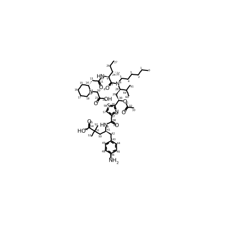 CCCCCCN(C(=O)[C@@H](NC(=O)C[C@H]1CCCCN1CC(=O)O)[C@@H](C)CC)[C@H](C[C@@H](OC(C)=O)c1nc(C(=O)N[C@@H](Cc2ccc(N)cc2)CC(C)(C)C(=O)O)cs1)C(C)C